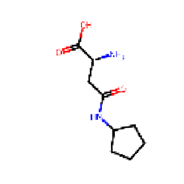 N[C@@H](CC(=O)NC1CCCC1)C(=O)O